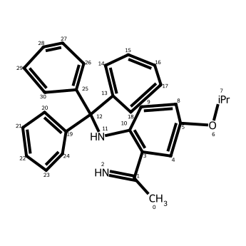 CC(=N)c1cc(OC(C)C)ccc1NC(c1ccccc1)(c1ccccc1)c1ccccc1